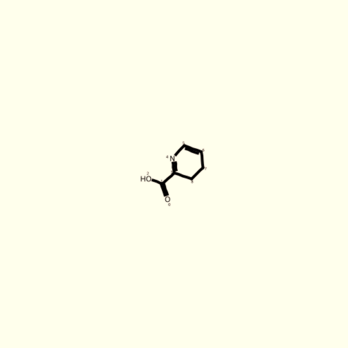 O=C(O)C1=NC=CCC1